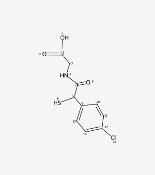 O=C(O)CNC(=O)C(S)c1ccc(Cl)cc1